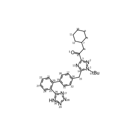 CC(C)(C)n1nc(C(=O)CC2CCCCC2)nc1Cc1ccc(-c2ccccc2-c2nnn[nH]2)cc1